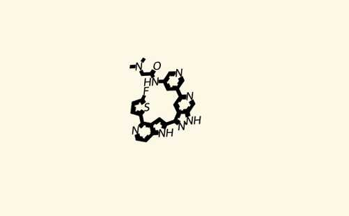 CN(C)CC(=O)Nc1cncc(-c2cc3c(-c4cc5c(-c6ccc(F)s6)nccc5[nH]4)n[nH]c3cn2)c1